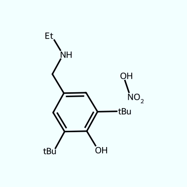 CCNCc1cc(C(C)(C)C)c(O)c(C(C)(C)C)c1.O=[N+]([O-])O